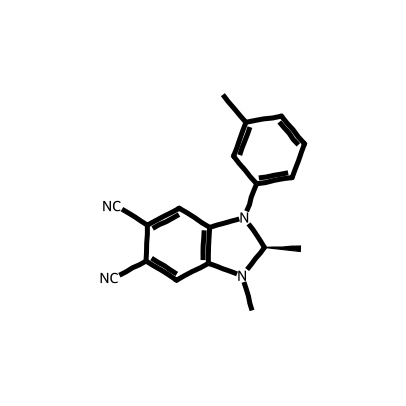 Cc1cccc(N2c3cc(C#N)c(C#N)cc3N(C)[C@@H]2C)c1